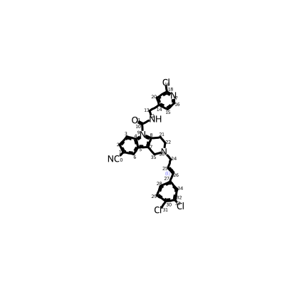 N#Cc1ccc2c(c1)c1c(n2C(=O)NCc2ccnc(Cl)c2)CCN(C/C=C/c2ccc(Cl)c(Cl)c2)C1